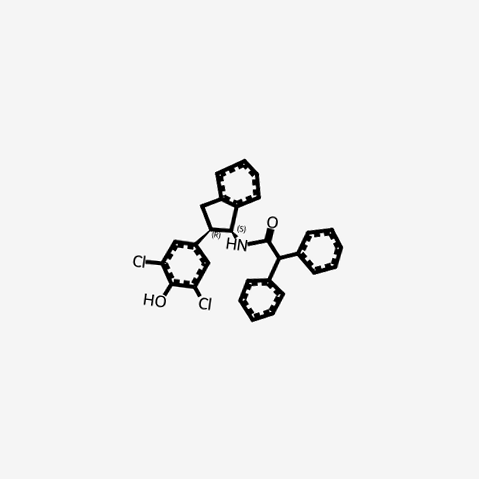 O=C(N[C@@H]1c2ccccc2C[C@@H]1c1cc(Cl)c(O)c(Cl)c1)C(c1ccccc1)c1ccccc1